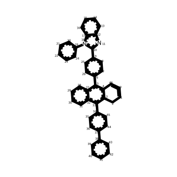 C1=CCc2c(c(-c3ccc(-c4nc5ccccc5n4-c4ccccc4)cc3)c3ccccc3c2-c2ccc(-c3ccccc3)cc2)C=1